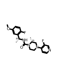 COc1ccc(F)c([C@@H](C)NC(=O)N2CCN(c3ccncc3F)C[C@H]2C)c1